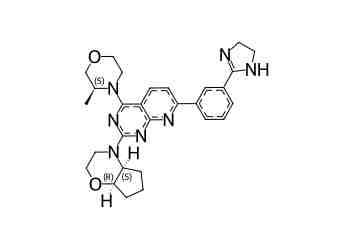 C[C@H]1COCCN1c1nc(N2CCO[C@@H]3CCC[C@@H]32)nc2nc(-c3cccc(C4=NCCN4)c3)ccc12